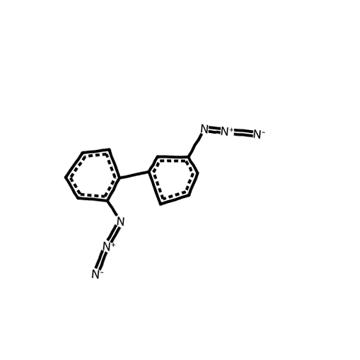 [N-]=[N+]=Nc1cccc(-c2ccccc2N=[N+]=[N-])c1